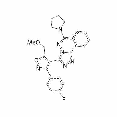 COCc1onc(-c2ccc(F)cc2)c1-c1nnc2c3ccccc3c(N3CCCC3)nn12